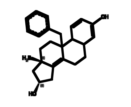 B[C@@]12CCC3(Cc4ccccc4)C(=C1C[C@H](O)C2)CCC1C=C(O)C=CC13